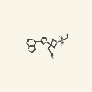 CCS(=O)(=O)N1CC(CC#N)(n2cc(-c3ncnc4c3C=C[N]4)cn2)C1